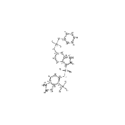 CC(C)(Cc1ccc2c(C(C)(C)Cc3ccc4[nH]ncc4c3C(C)(C)C)n[nH]c2c1)Cc1cnccn1